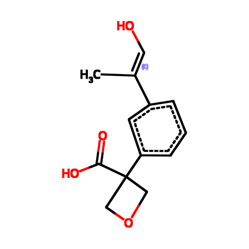 C/C(=C\O)c1cccc(C2(C(=O)O)COC2)c1